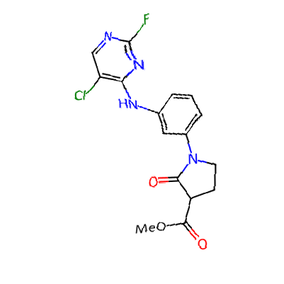 COC(=O)C1CCN(c2cccc(Nc3nc(F)ncc3Cl)c2)C1=O